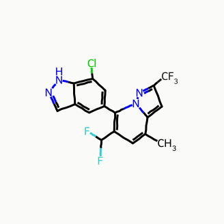 Cc1cc(C(F)F)c(-c2cc(Cl)c3[nH]ncc3c2)n2nc(C(F)(F)F)cc12